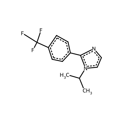 CC(C)n1ccnc1-c1ccc(C(F)(F)F)cc1